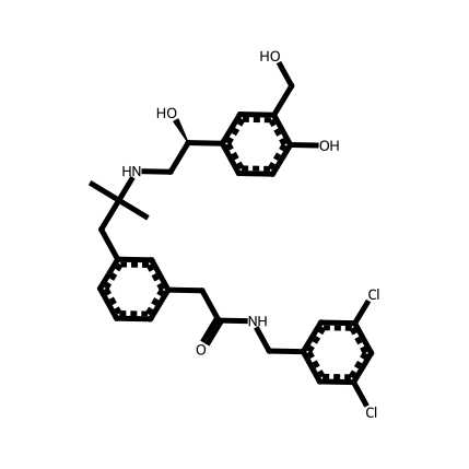 CC(C)(Cc1cccc(CC(=O)NCc2cc(Cl)cc(Cl)c2)c1)NC[C@@H](O)c1ccc(O)c(CO)c1